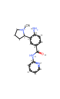 N#CN1CCCC1c1cc(C(=O)Nc2ccccn2)ccc1N